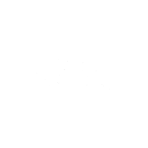 CC(=O)N1CCC([C]2CCC(C)C(c3ncc(Cl)s3)C2)CC1